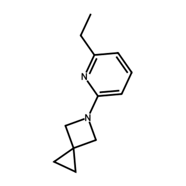 CCc1cccc(N2CC3(CC3)C2)n1